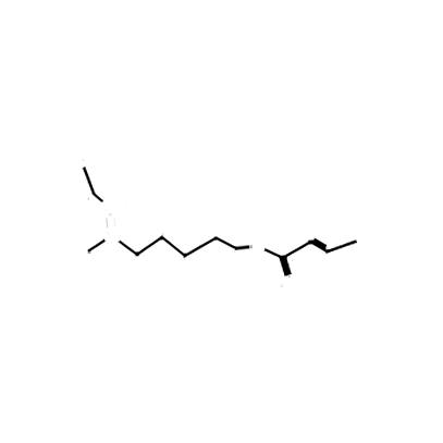 CC=CC(=O)OCCCCC[SiH](C)OCC